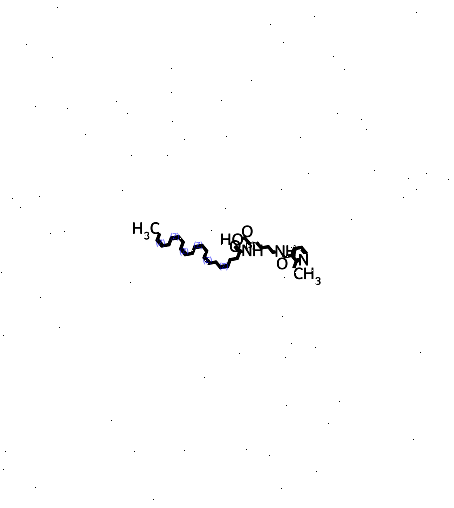 CC/C=C\C/C=C\C/C=C\C/C=C\C/C=C\C/C=C\CCC(=O)N[C@@H](CCCCNC(=O)c1cccnc1CC)C(=O)O